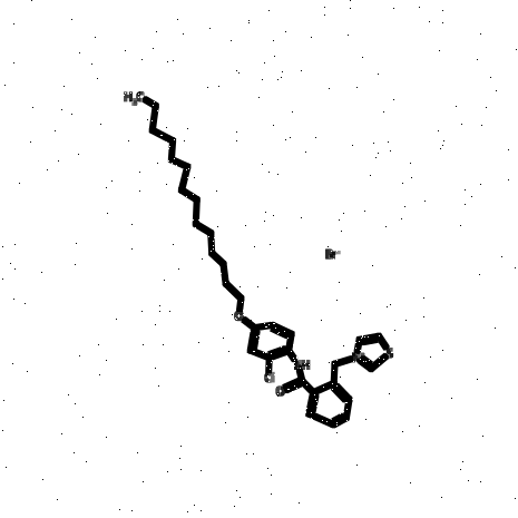 CCCCCCCCCCCCCCOc1ccc(NC(=O)c2ccccc2C[n+]2ccsc2)c(Cl)c1.[Br-]